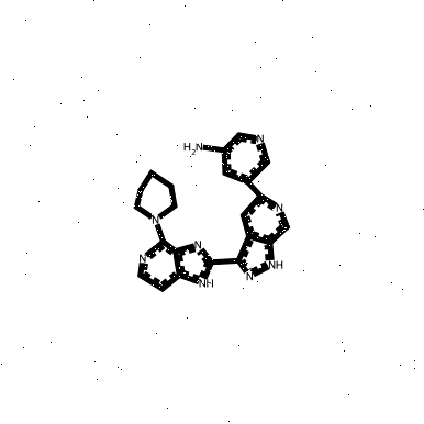 Nc1cncc(-c2cc3c(-c4nc5c(N6CCCCC6)nccc5[nH]4)n[nH]c3cn2)c1